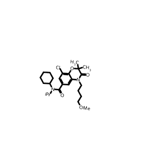 COCCCCN1C(=O)C(C)(C)Oc2c(Cl)cc(C(=O)N(C(C)C)C3CCCCC3)cc21